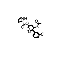 CC(=O)SC(CC(=O)OC(=O)[C@@H]1CCCN1)C(=O)c1cccc(Cl)c1